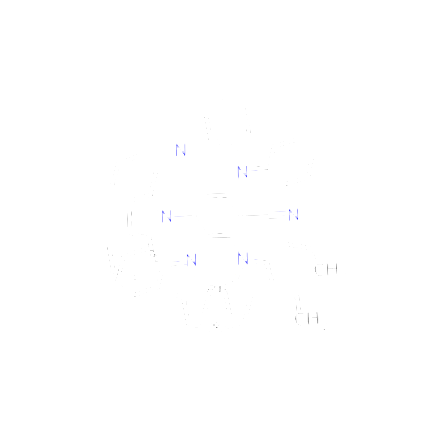 C=Cc1c(/C=C\C)n(-c2c(C#N)c(-n3c4ccccc4c4ccccc43)c(C#N)c(-n3c4ccccc4c4ccccc43)c2-n2c3ccccc3c3ccccc32)c2ccccc12